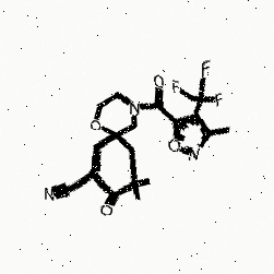 Cc1noc(C(=O)N2CCOC3(C=C(C#N)C(=O)C(C)(C)C3)C2)c1C(F)(F)F